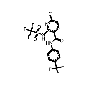 O=C(Nc1ccc(C(F)(F)F)cc1)c1ccc(Cl)nc1NS(=O)(=O)C(F)(F)F